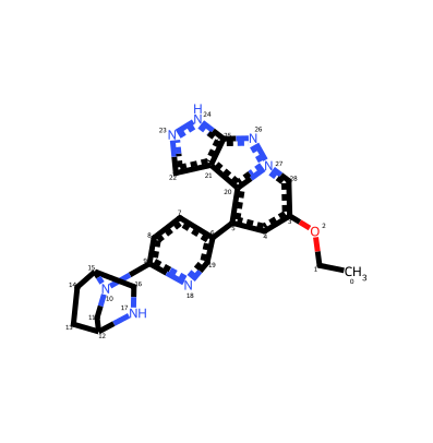 CCOc1cc(-c2ccc(N3CC4CCC3CN4)nc2)c2c3cn[nH]c3nn2c1